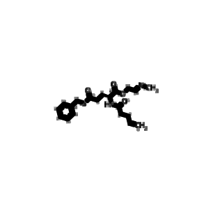 C=CCCC(=O)N[C@@H](CCC(=O)SCc1ccccc1)C(=O)OC/C=N/C